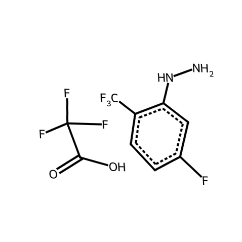 NNc1cc(F)ccc1C(F)(F)F.O=C(O)C(F)(F)F